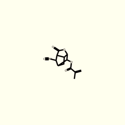 [C-]#[N+]C1C2CC3C(OC(=O)C31)C2OC(=O)C(=C)C